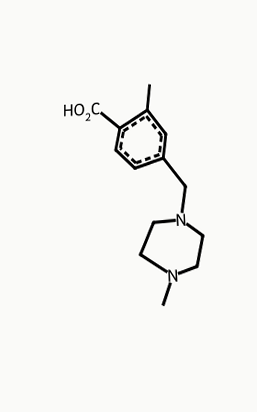 Cc1cc(CN2CCN(C)CC2)ccc1C(=O)O